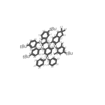 Cc1cc(C(C)(C)C)cc(C)c1N1c2cc3c(cc2B2c4c1cc(N(c1ccccc1)c1ccccc1)cc4N(c1ccc(C(C)(C)C)cc1)c1c2c2cc(C(C)(C)C)ccc2n1-c1ccc(C(C)(C)C)cc1)CC(C)(C)C3